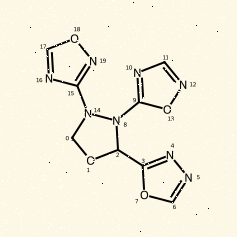 [CH]1OC(c2nnco2)N(c2ncno2)N1c1ncon1